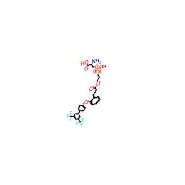 N[C@@H](COP(=O)(O)OCCCOC(=O)CCc1ccccc1Oc1ccc(-c2cc(C(F)(F)F)cc(C(F)(F)F)c2)cc1)C(=O)O